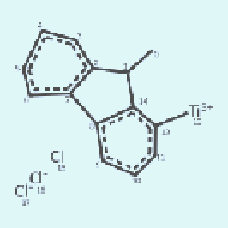 CC1c2ccccc2-c2ccc[c]([Ti+3])c21.[Cl-].[Cl-].[Cl-]